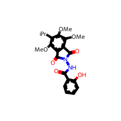 COc1c(OC)c(C(C)C)c(OC)c2c1C(=O)N(NC(=O)c1ccccc1O)C2=O